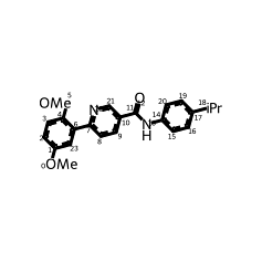 COc1ccc(OC)c(-c2ccc(C(=O)Nc3ccc(C(C)C)cc3)cn2)c1